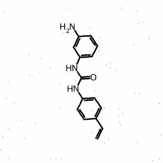 C=Cc1ccc(NC(=O)Nc2cccc(N)c2)cc1